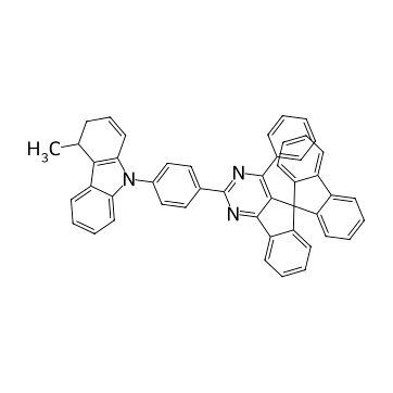 CC1CC=Cc2c1c1ccccc1n2-c1ccc(-c2nc(-c3ccccc3)c3c(n2)-c2ccccc2C32c3ccccc3-c3ccccc32)cc1